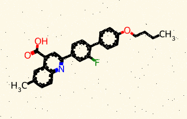 CCCCOc1ccc(-c2ccc(-c3cc(C(=O)O)c4cc(C)ccc4n3)cc2F)cc1